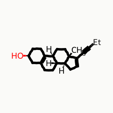 CCC#CC1=CC[C@H]2[C@@H]3CCC4=C(CC[C@H](O)C4)[C@H]3CC[C@]12C